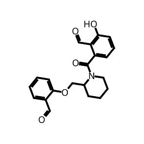 O=Cc1ccccc1OCC1CCCCN1C(=O)c1cccc(O)c1C=O